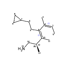 C/C=C(C)\C(CCC1CC1)=C(/C)[C@@H](C)CN